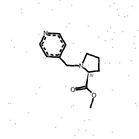 COC(=O)[C@@H]1CCCN1Cc1ccncc1